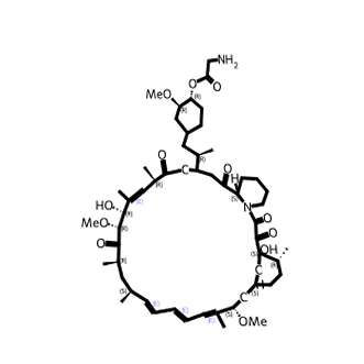 CO[C@H]1C[C@@H]2CC[C@@H](C)[C@@](O)(C2)C(=O)C(=O)N2CCCC[C@H]2C(=O)CC([C@H](C)CC2CC[C@@H](OC(=O)CN)[C@H](OC)C2)CC(=O)[C@H](C)/C=C(\C)[C@@H](O)[C@@H](OC)C(=O)[C@H](C)C[C@H](C)/C=C/C=C/C=C/1C